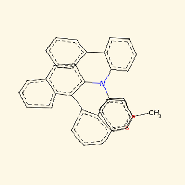 Cc1cccc(N(c2ccccc2-c2ccccc2)c2ccc3ccccc3c2-c2cccc3ccccc23)c1